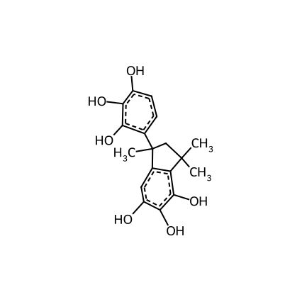 CC1(C)CC(C)(c2ccc(O)c(O)c2O)c2cc(O)c(O)c(O)c21